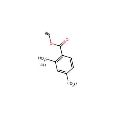 CCC(C)OC(=O)c1ccc(C(=O)O)cc1S(=O)(=O)O.[LiH]